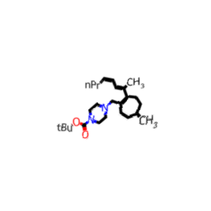 CCC/C=C\C=C(/C)C1=C(CN2CCN(C(=O)OC(C)(C)C)CC2)CCC(C)CC1